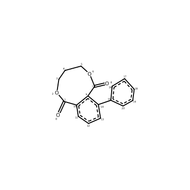 O=C1OCCCOC(=O)c2c1cccc2-c1ccccc1